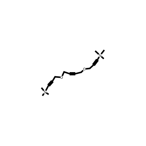 C[Si](C)(C)C#CCOCC#CCOCC#C[Si](C)(C)C